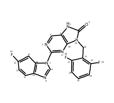 O=c1[nH]c2cnc(-n3cnc4ccc(F)cc43)nc2n1Cc1c(F)cccc1F